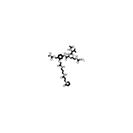 CNC(=O)OCc1ccc(NC(=O)[C@H](CCCNC(N)=O)NC(=O)[C@@H](NC(C)=O)C(C)C)cc1OCC(=O)NCCCNC(=O)CCN1CC=CC1=O